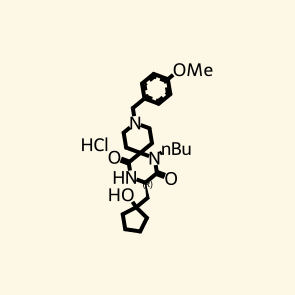 CCCCN1C(=O)[C@@H](CC2(O)CCCC2)NC(=O)C12CCN(Cc1ccc(OC)cc1)CC2.Cl